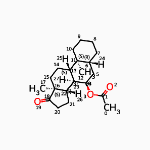 CC(=O)O[C@@H]1C[C@H]2CCCC[C@]2(C)[C@H]2CC[C@]3(C)C(=O)CC[C@H]3[C@H]12